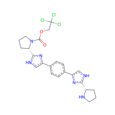 O=C(OCC(Cl)(Cl)Cl)N1CCC[C@H]1c1nc(-c2ccc(-c3c[nH]c([C@@H]4CCCN4)n3)cc2)c[nH]1